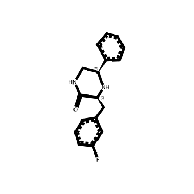 O=C1NC[C@@H](c2ccccc2)N[C@H]1Cc1cccc(F)c1